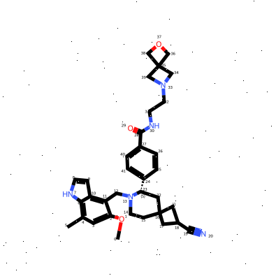 COc1cc(C)c2[nH]ccc2c1CN1CCC2(CC(C#N)C2)C[C@H]1c1ccc(C(=O)NCCN2CC3(COC3)C2)cc1